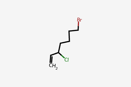 C=CC(Cl)CCCCBr